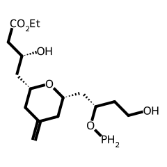 C=C1C[C@H](C[C@@H](O)CC(=O)OCC)O[C@H](C[C@H](CCO)OP)C1